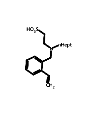 C=Cc1ccccc1CN(CCCCCCC)CCS(=O)(=O)O